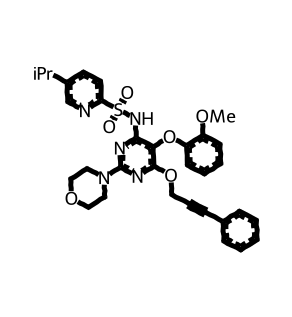 COc1ccccc1Oc1c(NS(=O)(=O)c2ccc(C(C)C)cn2)nc(N2CCOCC2)nc1OCC#Cc1ccccc1